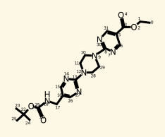 CCOC(=O)c1cnc(N2CCN(c3ncc(CNC(=O)OC(C)(C)C)cn3)CC2)nc1